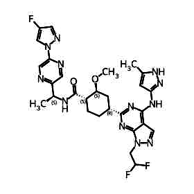 CO[C@H]1C[C@H](c2nc(Nc3cc(C)[nH]n3)c3cnn(CC(F)F)c3n2)CC[C@@H]1C(=O)N[C@@H](C)c1cnc(-n2cc(F)cn2)cn1